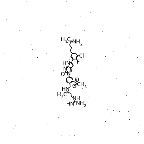 C[C@H](N)CCCc1cc(Cl)c(F)c(-c2cc3cn(-c4ccc(CN[C@@H](C)CCNC(=N)N)c(S(C)(=O)=O)c4)c(=O)nc3[nH]2)c1